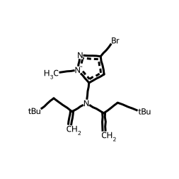 C=C(CC(C)(C)C)N(C(=C)CC(C)(C)C)c1cc(Br)nn1C